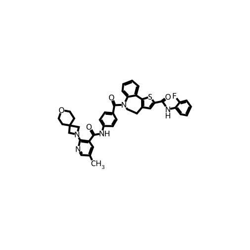 Cc1cnc(N2CC3(CCOCC3)C2)c(C(=O)Nc2ccc(C(=O)N3CCc4cc(C(=O)Nc5ccccc5F)sc4-c4ccccc43)cc2)c1